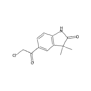 CC1(C)C(=O)Nc2ccc(C(=O)CCl)cc21